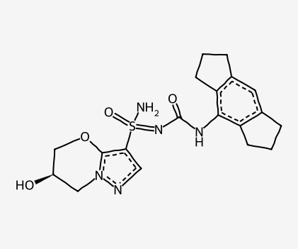 NS(=O)(=NC(=O)Nc1c2c(cc3c1CCC3)CCC2)c1cnn2c1OC[C@H](O)C2